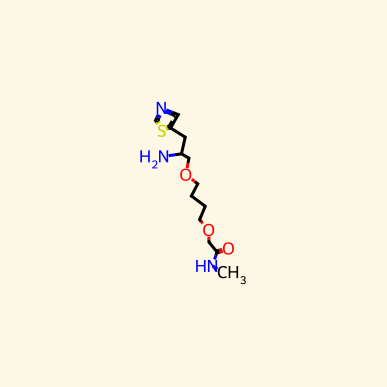 CNC(=O)COCCCCOCC(N)Cc1cncs1